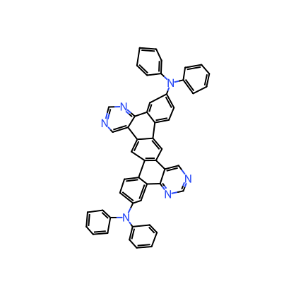 c1ccc(N(c2ccccc2)c2ccc3c4cc5c(cc4c4cncnc4c3c2)c2ccc(N(c3ccccc3)c3ccccc3)cc2c2ncncc52)cc1